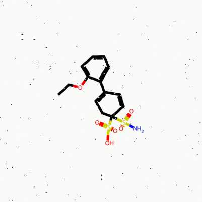 CCOc1ccccc1C1=CCC(S(N)(=O)=O)(S(=O)(=O)O)C=C1